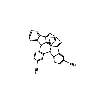 N#Cc1ccc(-n2c3ccccc3c3ccccc32)c(-n2c3ccccc3c3cc(C#N)ccc32)c1